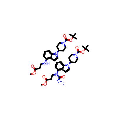 COC(=O)CCN(C(N)=O)c1cccc2c1ccn2C1CCN(C(=O)OC(C)(C)C)CC1.COC(=O)CCNc1cccc2c1ccn2C1CCN(C(=O)OC(C)(C)C)CC1